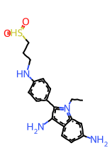 CCn1c(-c2ccc(NCCC[SH](=O)=O)cc2)c(N)c2ccc(N)cc21